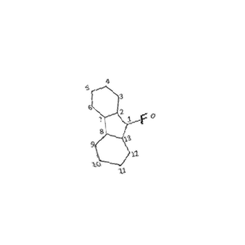 FC1C2CCCCC2C2CCCCC12